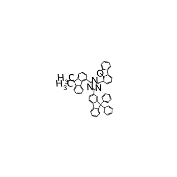 CC1(C)c2ccccc2-c2c(-c3nc(-c4ccc5c(c4)C(c4ccccc4)(c4ccccc4)c4ccccc4-5)nc(-c4cccc5c4oc4ccccc45)n3)cccc21